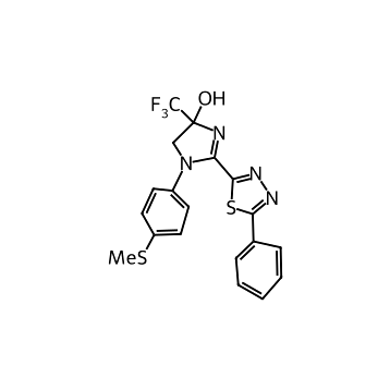 CSc1ccc(N2CC(O)(C(F)(F)F)N=C2c2nnc(-c3ccccc3)s2)cc1